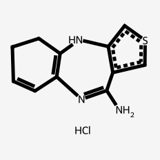 Cl.NC1=NC2=C(CCC=C2)Nc2cscc21